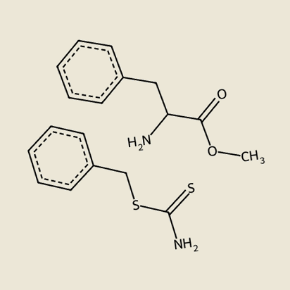 COC(=O)C(N)Cc1ccccc1.NC(=S)SCc1ccccc1